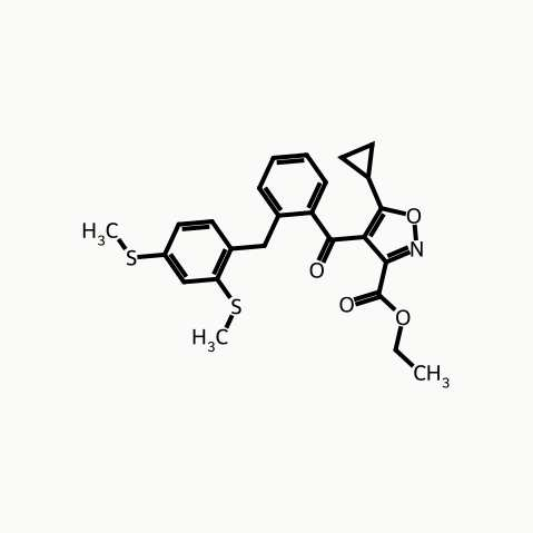 CCOC(=O)c1noc(C2CC2)c1C(=O)c1ccccc1Cc1ccc(SC)cc1SC